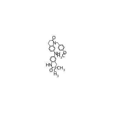 COc1ccc(CN2C(=O)CCc3ccc(Nc4ccc5c(c4)CC(C)(C)C(=O)N5)cc32)cc1